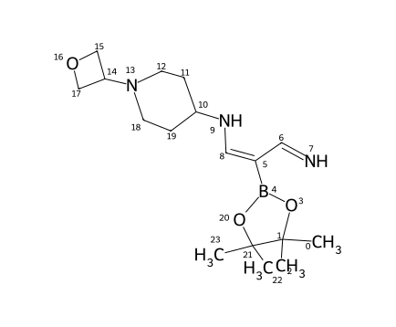 CC1(C)OB(/C(C=N)=C/NC2CCN(C3COC3)CC2)OC1(C)C